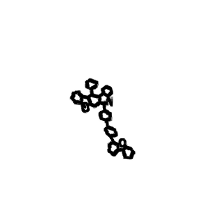 c1ccc(-c2c3c(cc4c(-c5ccc(-c6ccc(-c7cccc8c7oc7ccccc78)cc6)cc5)nc5ccccc5c24)oc2ccccc23)cc1